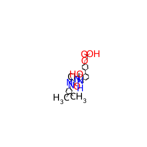 CC1=NN(c2ccc(C)c(C)c2)C(=O)/C1=N\Nc1cccc(-c2ccc(OCC(=O)O)cc2)c1O